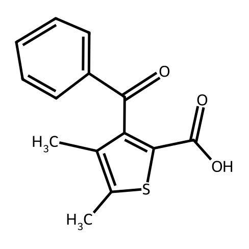 Cc1sc(C(=O)O)c(C(=O)c2ccccc2)c1C